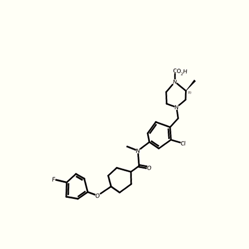 C[C@H]1CN(Cc2ccc(N(C)C(=O)C3CCC(Oc4ccc(F)cc4)CC3)cc2Cl)CCN1C(=O)O